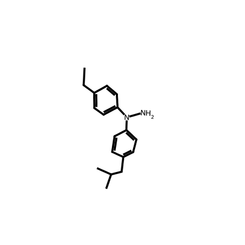 CCc1ccc(N(N)c2ccc(CC(C)C)cc2)cc1